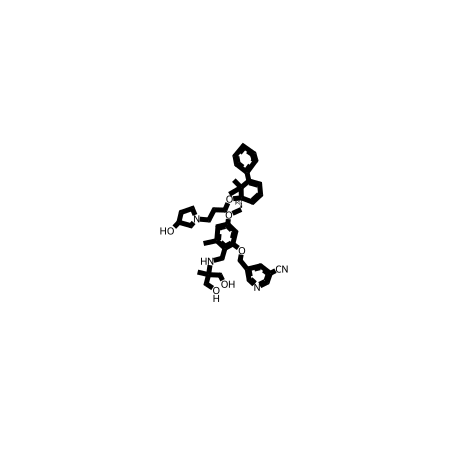 Cc1cc(OC[C@@]2(OCCCN3CCC(O)C3)C=CC=C(c3ccccc3)C2(C)C)cc(OCc2cncc(C#N)c2)c1CNC(C)(CO)CO